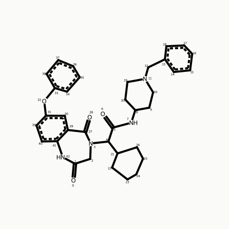 O=C1CN(C(C(=O)NC2CCN(Cc3ccccc3)CC2)C2CCCCC2)C(=O)c2cc(Oc3ccccc3)ccc2N1